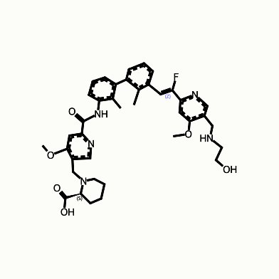 COc1cc(/C(F)=C/c2cccc(-c3cccc(NC(=O)c4cc(OC)c(CN5CCCC[C@H]5C(=O)O)cn4)c3C)c2C)ncc1CNCCO